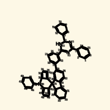 c1ccc(C2=NC(c3ccccc3)NC(c3cccc(-c4ccc5c(c4)C4(c6ccccc6-5)c5ccccc5N(c5ccccc5)c5ccccc54)c3)=N2)cc1